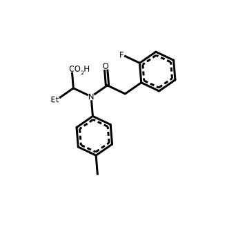 CCC(C(=O)O)N(C(=O)Cc1ccccc1F)c1ccc(C)cc1